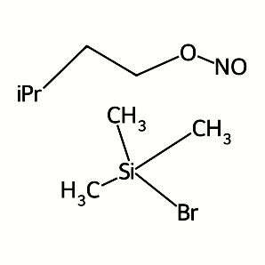 CC(C)CCON=O.C[Si](C)(C)Br